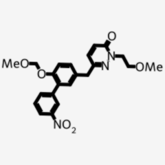 COCCn1nc(Cc2ccc(OCOC)c(-c3cccc([N+](=O)[O-])c3)c2)ccc1=O